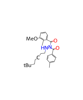 COc1cccc(C(=O)N(NCCCCCC(C)(C)C)C(=O)c2ccc(C)cc2)c1C